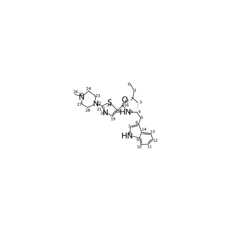 CCCC[C@H](Cc1c[nH]c2ccccc12)NC(=O)c1cnc(N2CCN(C)CC2)s1